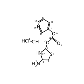 Cl.Cl.NC1CSC(OC(=O)Oc2cccnc2)N1